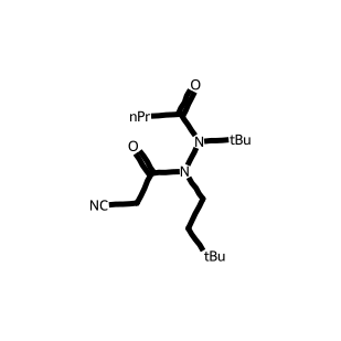 CCCC(=O)N(N(CCC(C)(C)C)C(=O)CC#N)C(C)(C)C